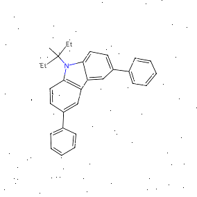 CCC(C)(CC)n1c2ccc(-c3ccccc3)cc2c2cc(-c3ccccc3)ccc21